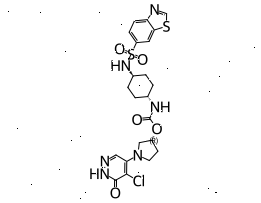 O=C(N[C@H]1CC[C@H](NS(=O)(=O)c2ccc3ncsc3c2)CC1)O[C@@H]1CCN(c2cn[nH]c(=O)c2Cl)C1